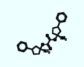 NC1(OC(=O)C(=O)OC2(N)CCC(c3ccccc3)C2)CCC(c2ccccc2)C1